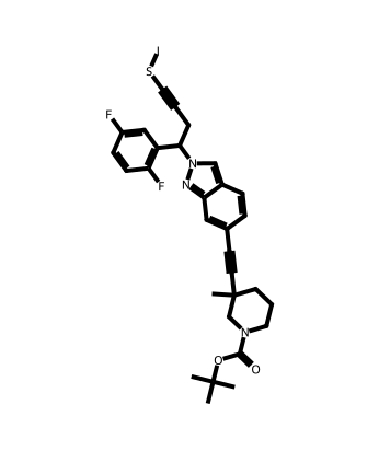 CC1(C#Cc2ccc3cn(C(CC#CSI)c4cc(F)ccc4F)nc3c2)CCCN(C(=O)OC(C)(C)C)C1